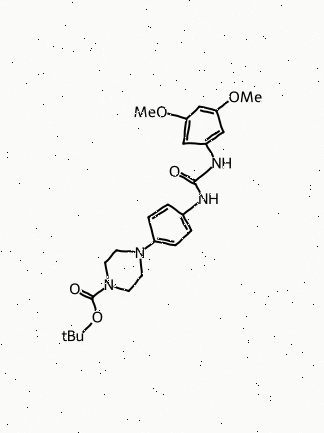 COc1cc(NC(=O)Nc2ccc(N3CCN(C(=O)OC(C)(C)C)CC3)cc2)cc(OC)c1